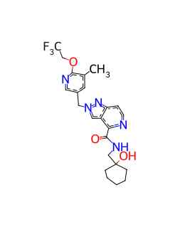 Cc1cc(Cn2cc3c(C(=O)NCC4(O)CCCCC4)nccc3n2)cnc1OCC(F)(F)F